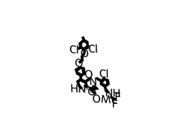 COCOC[C@H]1NCCC(c2ccc(OCCOc3c(Cl)cc(C)cc3Cl)cc2)=C1C(=O)N(Cc1cc(CNCC(F)F)ccc1Cl)C1CC1